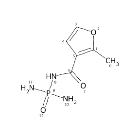 Cc1occc1C(=O)NP(N)(N)=O